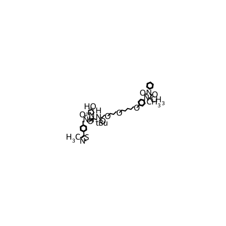 Cc1ncsc1-c1ccc(CNC(=O)[C@@H]2C[C@@H](O)CN2C(=O)C(NC(=O)COCCCOCCCCCOc2ccc(N3C(=O)N(c4ccccc4)C(=O)C3(C)C)cc2)C(C)(C)C)cc1